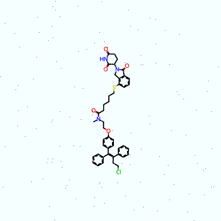 CN(CCOc1ccc(C(=C(CCCl)c2ccccc2)c2ccccc2)cc1)C(=O)CCCCCSc1cccc2c1CN(C1CCC(=O)NC1=O)C2=O